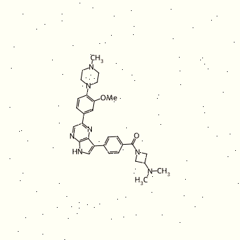 COc1cc(-c2cnc3[nH]cc(-c4ccc(C(=O)N5CC(N(C)C)C5)cc4)c3n2)ccc1N1CCN(C)CC1